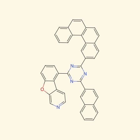 c1ccc2cc(-c3nc(-c4ccc5ccc6ccc7ccccc7c6c5c4)nc(-c4cccc5oc6cnccc6c45)n3)ccc2c1